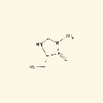 CN1CN[C@@H](CS)C1=O